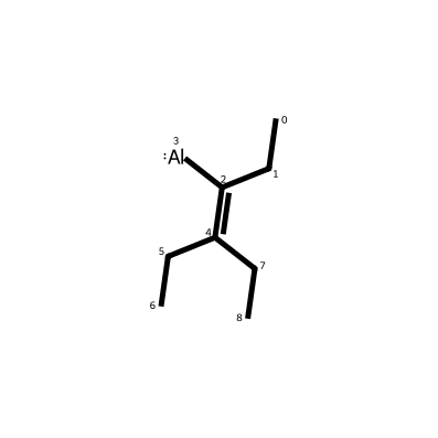 CC[C]([Al])=C(CC)CC